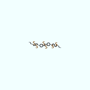 CC=Cc1cc2sc(-c3ccc4c(c3)sc3c5ccc(-c6cc7sc(C=CC)cc7s6)cc5sc43)cc2s1